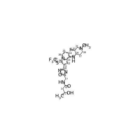 C[C@H](O)CC(=O)NCc1nc(-c2cc3c(N[C@@H]4CCN(C)C[C@@H]4F)cccn3c2SC(F)(F)F)no1